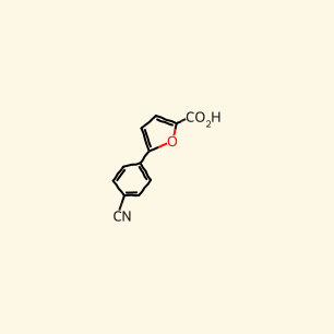 N#Cc1ccc(-c2ccc(C(=O)O)o2)cc1